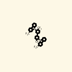 FC(F)(F)c1ccc2c3ccccc3n(-c3cc(-c4ccc(C(F)(F)F)c(-n5c6ccccc6c6ccc(C(F)(F)F)cc65)c4)ccc3C(F)(F)F)c2c1